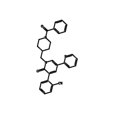 N#Cc1ccccc1-c1cc(-c2ccccn2)cn(CC2CCN(C(=O)c3ccccc3)CC2)c1=O